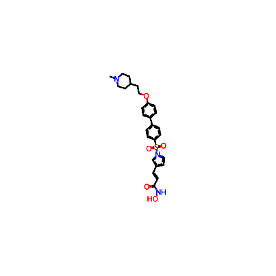 CN1CCC(CCOc2ccc(-c3ccc(S(=O)(=O)n4ccc(/C=C/C(=O)NO)c4)cc3)cc2)CC1